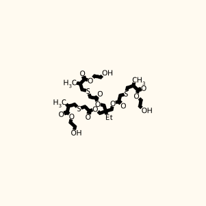 CCC(COC(=O)CSCC(C)C(=O)OCCO)(COC(=O)CSCC(C)C(=O)OCCO)COC(=O)CSCC(C)C(=O)OCCO